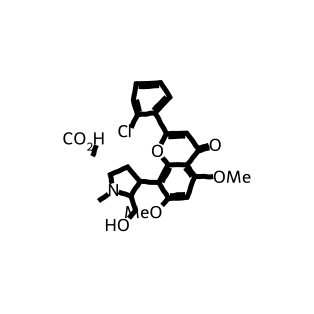 CC(=O)O.COc1cc(OC)c2c(=O)cc(-c3ccccc3Cl)oc2c1C1CCN(C)C1CO